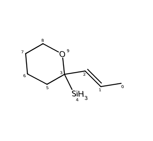 CC=CC1([SiH3])CCCCO1